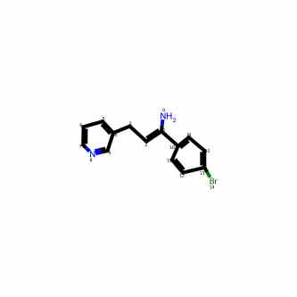 NC(=CCc1cccnc1)c1ccc(Br)cc1